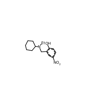 CCN(Cc1cc([N+](=O)[O-])ccc1O)C1CCCCC1